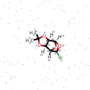 CC1(C)O[C@H]2[C@@H](O1)[C@@H]1O[C@@H]2[C@H](Br)O1